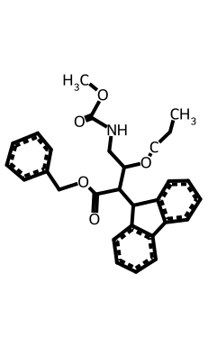 CCCOC(CNC(=O)OC)C(C(=O)OCc1ccccc1)C1c2ccccc2-c2ccccc21